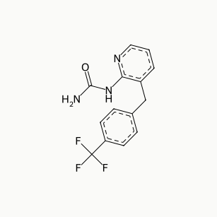 NC(=O)Nc1ncccc1Cc1ccc(C(F)(F)F)cc1